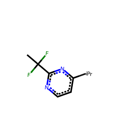 CC(C)c1ccnc(C(C)(F)F)n1